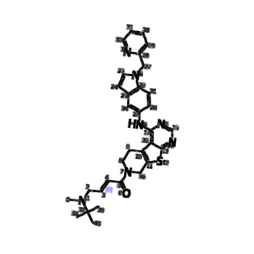 CN(C/C=C/C(=O)N1CCc2c(sc3ncnc(Nc4ccc5c(ccn5Cc5ccccn5)c4)c23)C1)C(C)(C)C